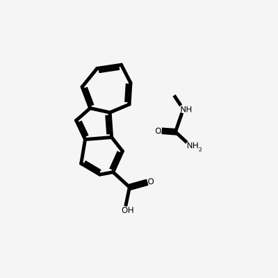 CNC(N)=O.O=C(O)c1ccc2cc3cccccc-3c2c1